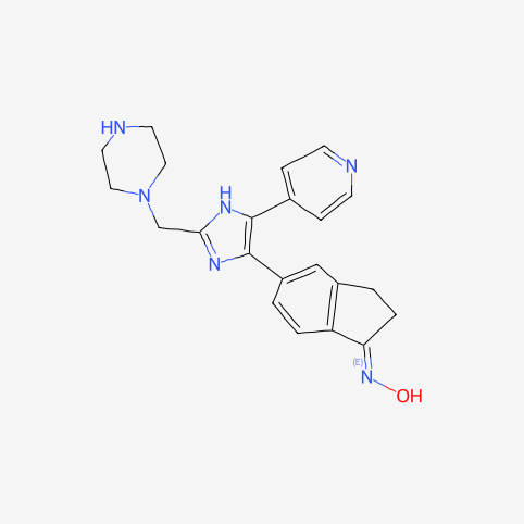 O/N=C1\CCc2cc(-c3nc(CN4CCNCC4)[nH]c3-c3ccncc3)ccc21